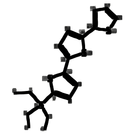 CCS(CC)(CC)c1ccc(-c2ccc(-c3cccs3)s2)s1